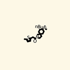 CCCCC1(N(C)C)CCC2(CCN(C(=O)Cc3ccc(C)s3)C2)CC1